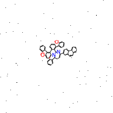 C1=C(c2ccc3c(ccc4ccccc43)c2)N=C(c2c(-c3cccc4oc5ccccc5c34)ccc3oc4ccccc4c23)N=C(c2ccccc2)C1